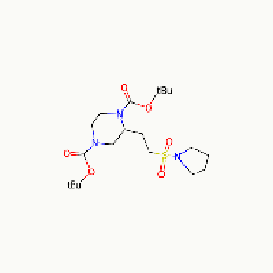 CC(C)(C)OC(=O)N1CCN(C(=O)OC(C)(C)C)C(CCS(=O)(=O)N2CCCC2)C1